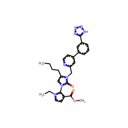 CCCCc1cn(-c2c(C(=O)OC)ccn2CC)c(=O)n1Cc1cc(-c2cccc(-c3nnn[nH]3)c2)ccn1